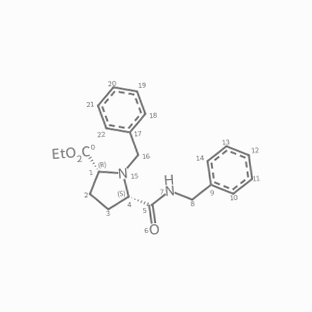 CCOC(=O)[C@H]1CC[C@@H](C(=O)NCc2ccccc2)N1Cc1ccccc1